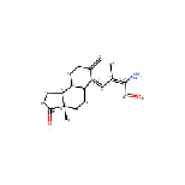 C=C1CCC2C(CC[C@]3(C)C(=O)CCC23)/C1=C/C(C)=C(/N)C=O